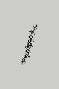 C=CC(=O)OCCNC(=O)Oc1ccc(C(=O)Oc2ccc(OC(=O)c3ccc(OC(=O)NCCOC(=O)C=C)cc3)c(C)c2)cc1